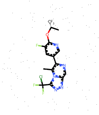 Cc1c(-c2cnc(O[C@@H](C)C(F)(F)F)c(F)c2)ncc2nnc(C(F)(F)Cl)n12